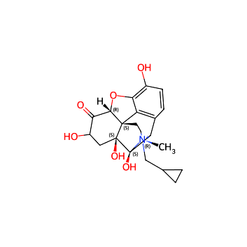 C[N@+]1(CC2CC2)CC[C@]23c4c5ccc(O)c4O[C@H]2C(=O)C(O)C[C@@]3(O)[C@@]1(O)C5